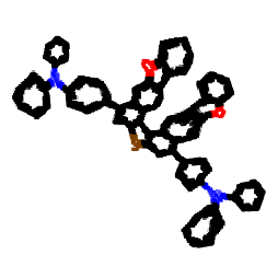 c1ccc(N(c2ccccc2)c2ccc(-c3cc4sc5cc(-c6ccc(N(c7ccccc7)c7ccccc7)cc6)c6cc7oc8ccccc8c7cc6c5c4c4cc5c(cc34)oc3ccccc35)cc2)cc1